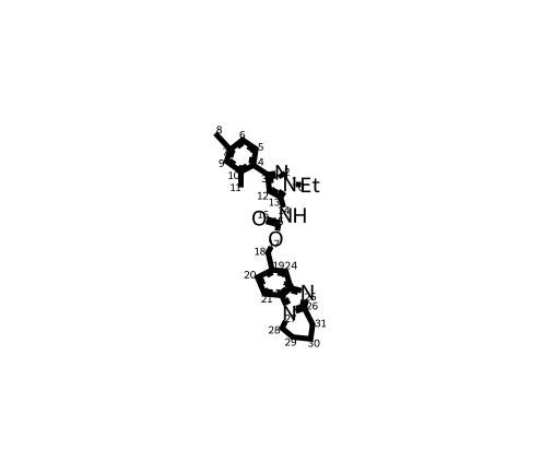 CCn1nc(-c2ccc(C)cc2C)cc1NC(=O)OCc1ccc2c(c1)nc1n2CCCC1